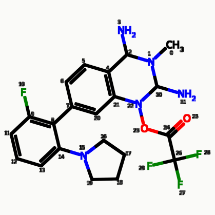 CN1C(N)c2ccc(-c3c(F)cccc3N3CCCC3)cc2N(OC(=O)C(F)(F)F)C1N